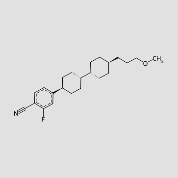 COCCC[C@H]1CC[C@H]([C@H]2CC[C@H](c3ccc(C#N)c(F)c3)CC2)CC1